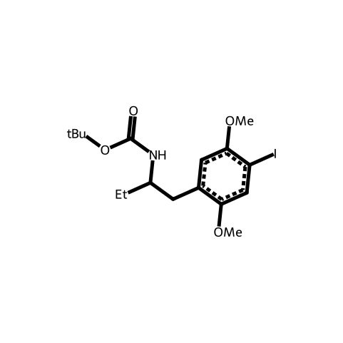 CCC(Cc1cc(OC)c(I)cc1OC)NC(=O)OC(C)(C)C